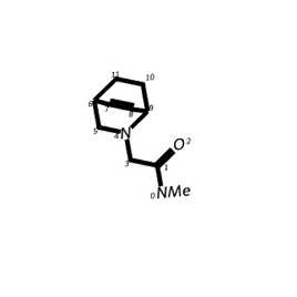 CNC(=O)CN1CC2C=CC1CC2